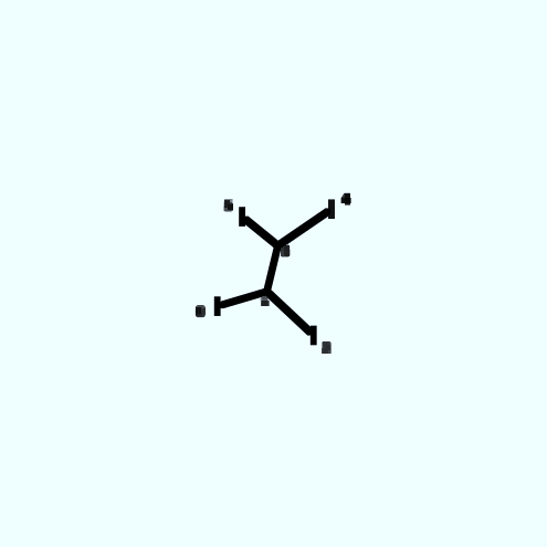 IC(I)C(I)I